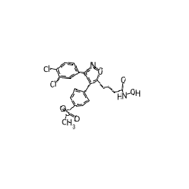 CS(=O)(=O)c1ccc(-c2c(-c3ccc(Cl)c(Cl)c3)noc2CCCC(=O)NO)cc1